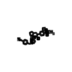 CS(=O)(=O)c1ccc(C(CC2CCCC2)C(=O)Nc2ccn(Cc3ccc(C#N)cc3)n2)cc1Cl